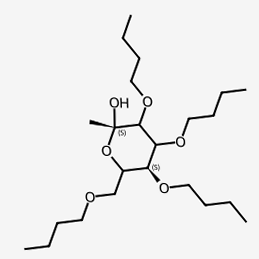 CCCCOCC1O[C@](C)(O)C(OCCCC)C(OCCCC)[C@H]1OCCCC